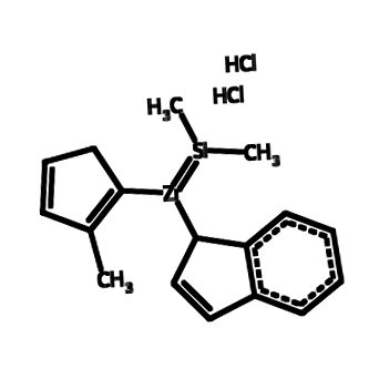 CC1=[C]([Zr]([CH]2C=Cc3ccccc32)=[Si](C)C)CC=C1.Cl.Cl